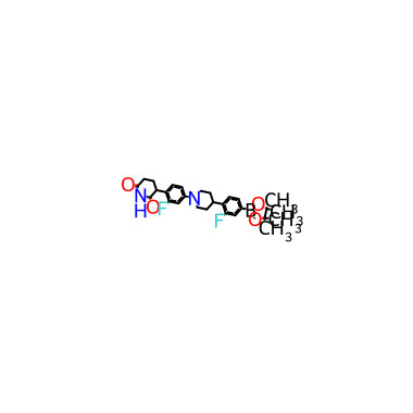 CC1(C)OB(c2ccc(C3CCN(c4ccc(C5CCC(=O)NC5=O)c(F)c4)CC3)c(F)c2)OC1(C)C